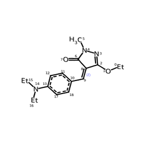 CCOC1=NN(C)C(=O)/C1=C\c1ccc(N(CC)CC)cc1